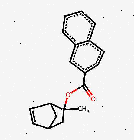 CC1(OC(=O)c2ccc3ccccc3c2)CC2C=CC1C2